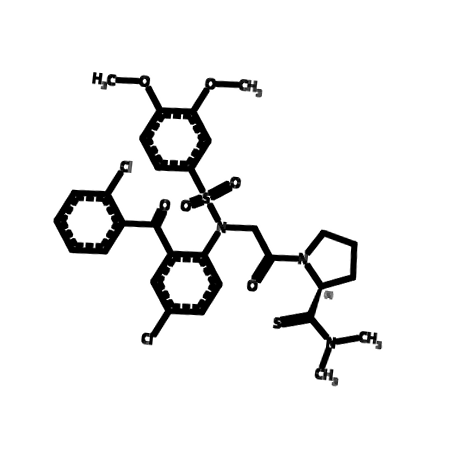 COc1ccc(S(=O)(=O)N(CC(=O)N2CCC[C@H]2C(=S)N(C)C)c2ccc(Cl)cc2C(=O)c2ccccc2Cl)cc1OC